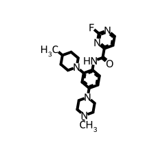 CC1CCN(c2cc(N3CCN(C)CC3)ccc2NC(=O)c2ccnc(F)n2)CC1